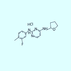 Cc1ccc(Nc2nccc(NCC3CCCO3)n2)cc1F.Cl